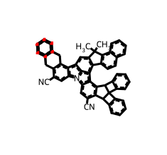 CC1(C)c2cc3c4c5c(c(C#N)cc4n4c6cc(C#N)c7c(c6c(c2-c2ccc6ccccc6c21)c34)C1c2ccccc2C12c1ccccc1C72)C1c2ccccc2C5c2ccccc21